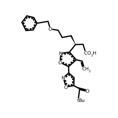 C=Cc1c([C@@H](CCCOCc2ccccc2)CC(=O)O)noc1-c1cc(C(=O)C(C)(C)C)on1